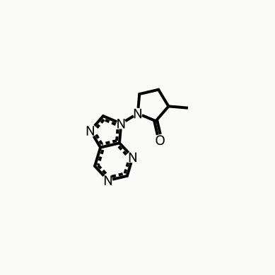 CC1CCN(n2cnc3cncnc32)C1=O